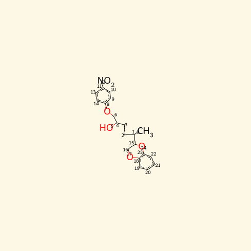 CC(CCC(O)COc1ccc([N+](=O)[O-])cc1)C1COc2ccccc2O1